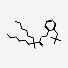 CCCCCCC(C)(CCCCCC)C(=O)OCc1ccbcc1CC(C)(C)C